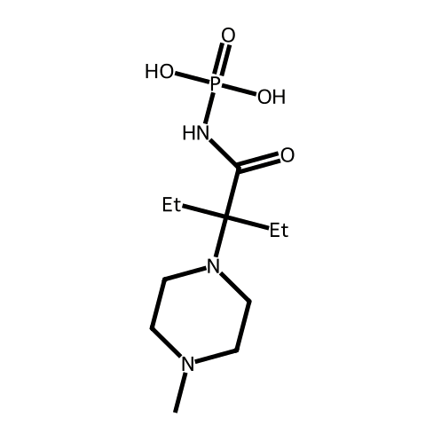 CCC(CC)(C(=O)NP(=O)(O)O)N1CCN(C)CC1